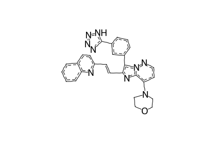 C(=Cc1nc2c(N3CCOCC3)ccnn2c1-c1cccc(-c2nnn[nH]2)c1)c1ccc2ccccc2n1